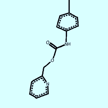 Cc1ccc(NC(=O)OCc2ccccn2)cc1